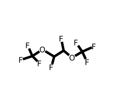 FC(OC(F)(F)F)C(F)OC(F)(F)F